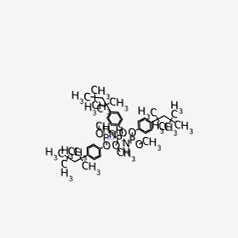 COP(N[PH](/N=[PH](/OC)Oc1ccc(C(C)(C)CC(C)(C)C)cc1)(OC)Oc1ccc(C(C)(C)CC(C)(C)C)cc1)Oc1ccc(C(C)(C)CC(C)(C)C)cc1